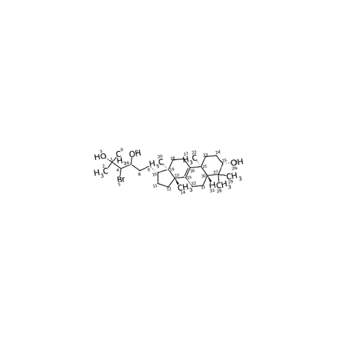 CC(C)(O)C(Br)C(O)CC[C@H]1CC[C@@]2(C)C3=C(CC[C@]12C)[C@@]1(C)CC[C@H](O)C(C)(C)[C@@H]1CC3